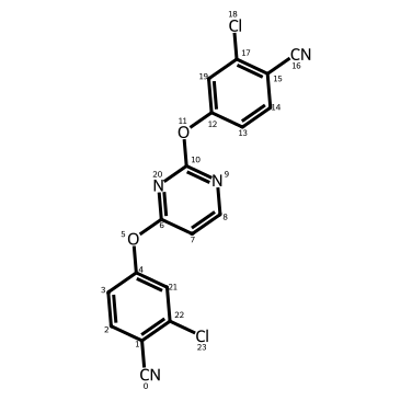 N#Cc1ccc(Oc2ccnc(Oc3ccc(C#N)c(Cl)c3)n2)cc1Cl